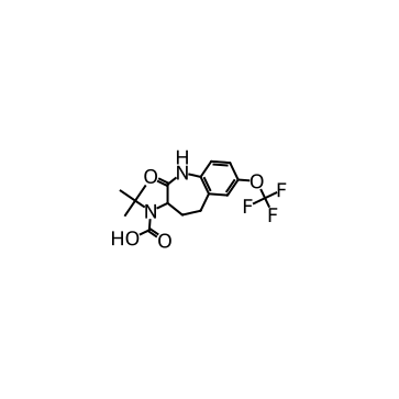 CC(C)(C)N(C(=O)O)C1CCc2cc(OC(F)(F)F)ccc2NC1=O